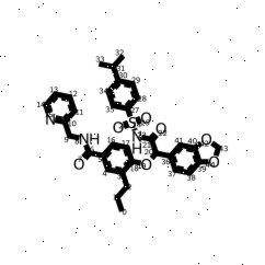 CCCc1cc(C(=O)NCc2ccccn2)ccc1OC(C(=O)NS(=O)(=O)c1ccc(C(C)C)cc1)c1ccc2c(c1)OCO2